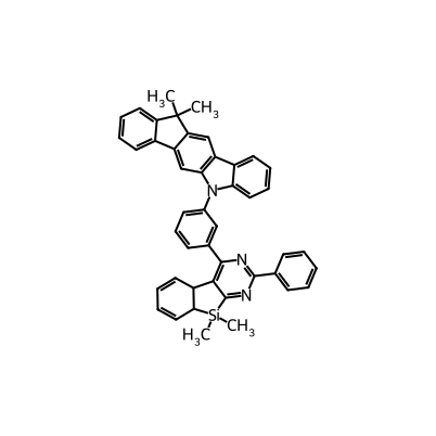 CC1(C)c2ccccc2-c2cc3c(cc21)c1ccccc1n3-c1cccc(-c2nc(-c3ccccc3)nc3c2C2C=CC=CC2[Si]3(C)C)c1